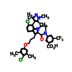 Cc1cc(OCCCc2c3n(c4c(-c5c(C)nn(C)c5C)c(Cl)ccc24)CCCN(c2cc(C(=O)O)cc(C(F)(F)F)c2)C3=O)cc(C)c1Cl